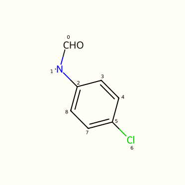 O=C[N]c1ccc(Cl)cc1